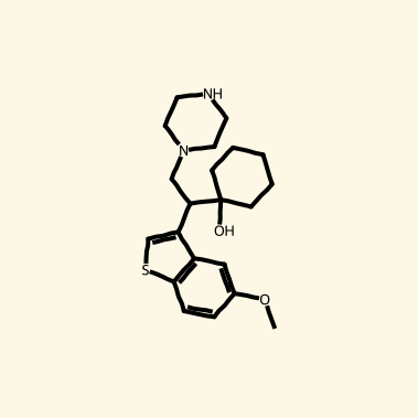 COc1ccc2scc(C(CN3CCNCC3)C3(O)CCCCC3)c2c1